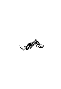 Cc1ccc(S(=O)(=O)Oc2onc3ccc4c(c23)OCCO4)cc1